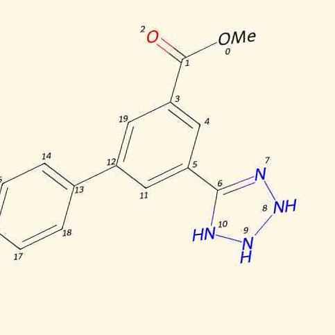 COC(=O)c1cc(C2=NNNN2)cc(-c2ccccc2)c1